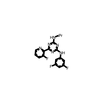 CC(C)Nc1nc(Nc2cc(F)cc(F)c2)nc(-c2ncccc2F)n1